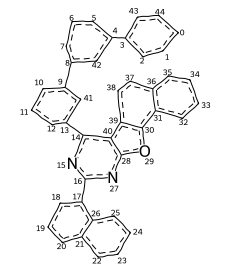 c1ccc(-c2cccc(-c3cccc(-c4nc(-c5cccc6ccccc56)nc5oc6c7ccccc7ccc6c45)c3)c2)cc1